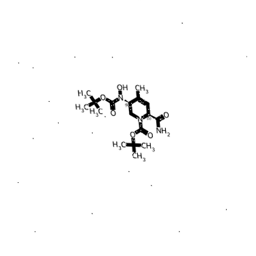 CC1=C[C@@H](C(N)=O)N(C(=O)OC(C)(C)C)C[C@@H]1N(O)C(=O)OC(C)(C)C